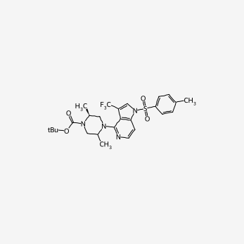 Cc1ccc(S(=O)(=O)n2cc(C(F)(F)F)c3c(N4C[C@H](C)N(C(=O)OC(C)(C)C)CC4C)nccc32)cc1